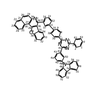 c1ccc(-c2nc(-c3ccc(-c4cccc(-c5nc6ccc7ccccc7c6c6oc7ccccc7c56)c4)cc3)nc(-c3cccc(-n4c5ccccc5c5ccccc54)c3)n2)cc1